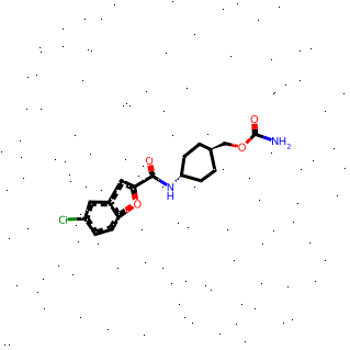 NC(=O)OC[C@H]1CC[C@H](NC(=O)c2cc3cc(Cl)ccc3o2)CC1